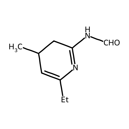 CCC1=CC(C)CC(NC=O)=N1